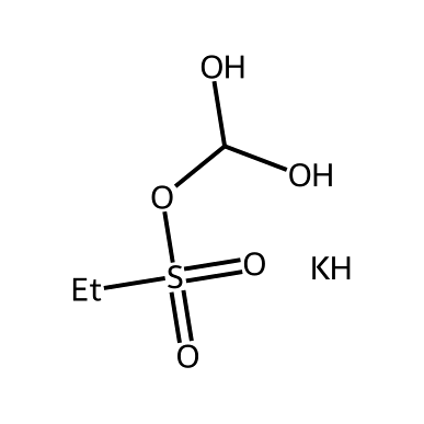 CCS(=O)(=O)OC(O)O.[KH]